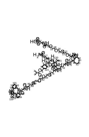 CC(C)C(=O)OCc1ccc(NC(=O)[C@H](CCCNC(N)=O)NC(=O)[C@@H](NC(=O)[C@@H](CCCCNC(=O)COC2CCCCCc3nnn(CCOCCOCCOCCOCCC(=O)NCCS(=O)(=O)O)c32)NC(=O)CCOCCOCCOCCOCCCC(=O)NCC(=O)N2Cc3ccccc3-c3nnn(C(C)C)c3-c3ccccc32)C(C)C)cc1